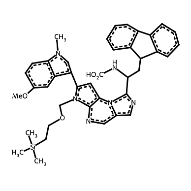 COc1ccc2c(c1)c(-c1cc3c(ncc4cnc(C(CC5c6ccccc6-c6ccccc65)NC(=O)O)n43)n1COCC[Si](C)(C)C)cn2C